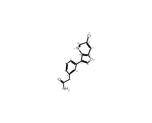 NC(=O)Cc1cccc(-c2coc3cc(Cl)cnc23)c1